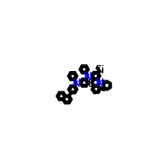 CC12CCCCC1(C)N1c3cc([Si](C)(C)C)cc4c3B(c3ccc(N(c5ccccc5)c5ccc(-c6cccc7ccccc67)cc5)cc3N4c3ccccc3)c3cccc2c31